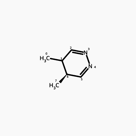 CC1C=NN=C[C@H]1C